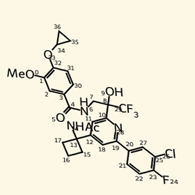 COc1cc(C(=O)NCC(O)(c2cc(C3(NC(C)=O)CCC3)cc(-c3ccc(F)c(Cl)c3)n2)C(F)(F)F)ccc1OC1CC1